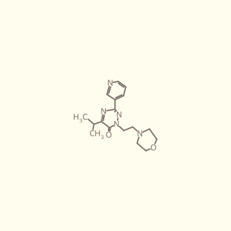 CC(C)c1nc(-c2cccnc2)nn(CCN2CCOCC2)c1=O